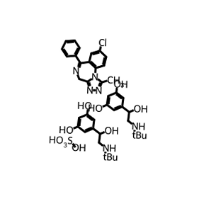 CC(C)(C)NCC(O)c1cc(O)cc(O)c1.CC(C)(C)NCC(O)c1cc(O)cc(O)c1.Cc1nnc2n1-c1ccc(Cl)cc1C(c1ccccc1)=NC2.O=S(=O)(O)O